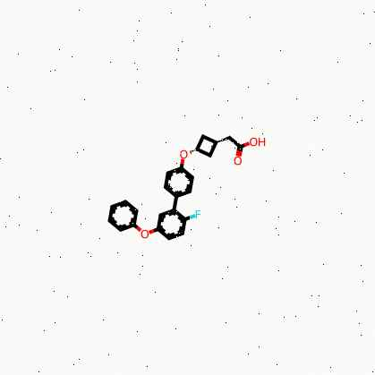 O=C(O)C[C@H]1C[C@H](Oc2ccc(-c3cc(Oc4ccccc4)ccc3F)cc2)C1